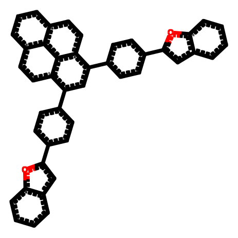 c1ccc2oc(-c3ccc(-c4cc(-c5ccc(-c6cc7ccccc7o6)cc5)c5ccc6cccc7ccc4c5c76)cc3)cc2c1